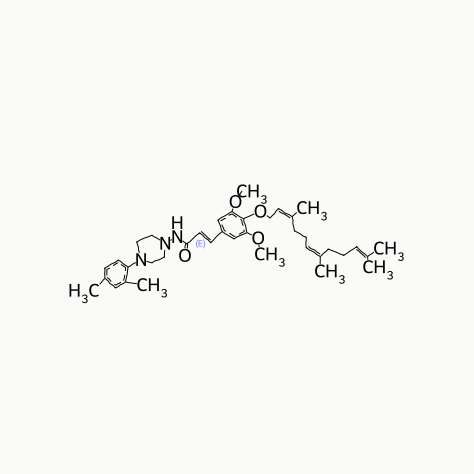 COc1cc(/C=C/C(=O)NN2CCN(c3ccc(C)cc3C)CC2)cc(OC)c1OCC=C(C)CCC=C(C)CCC=C(C)C